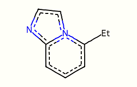 CCc1cccc2nccn12